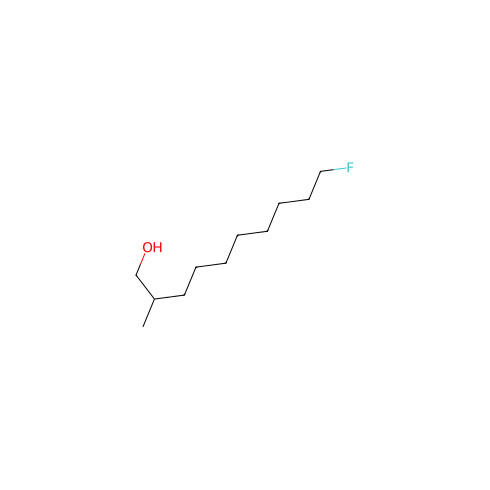 CC(CO)CCCCCCCCF